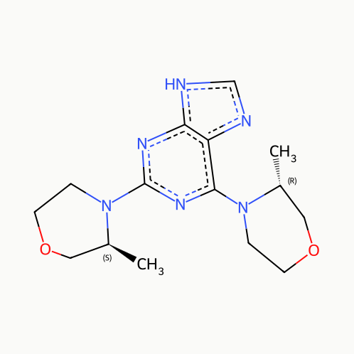 C[C@@H]1COCCN1c1nc(N2CCOC[C@@H]2C)nc2[nH]cnc12